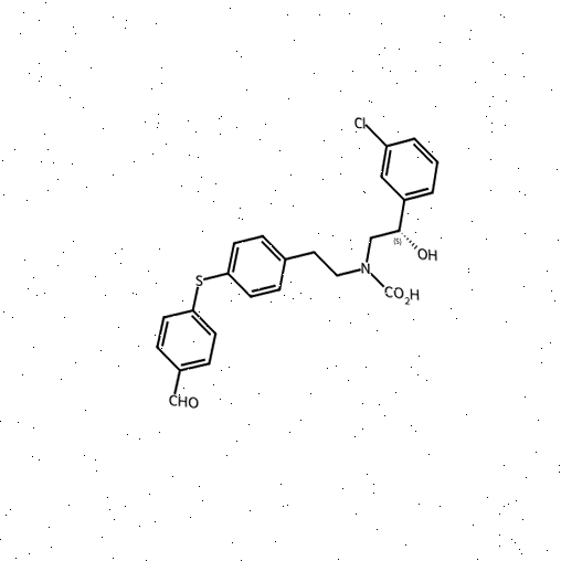 O=Cc1ccc(Sc2ccc(CCN(C[C@@H](O)c3cccc(Cl)c3)C(=O)O)cc2)cc1